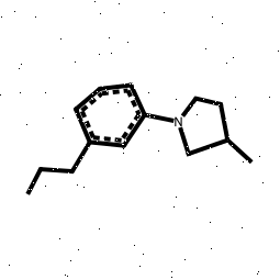 CCCc1cccc(N2CCC(C)C2)c1